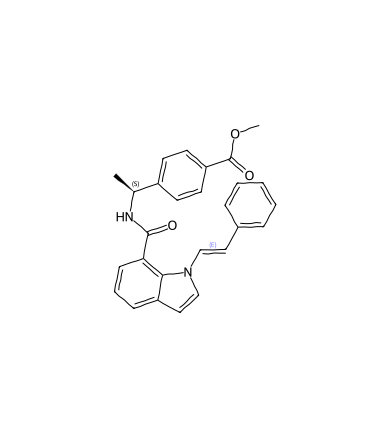 COC(=O)c1ccc([C@H](C)NC(=O)c2cccc3ccn(/C=C/c4ccccc4)c23)cc1